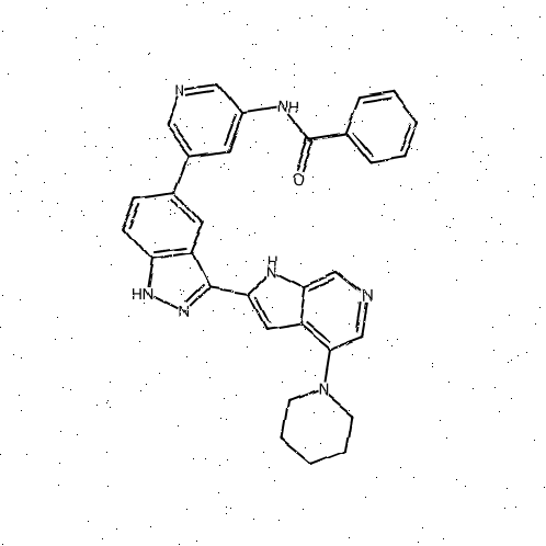 O=C(Nc1cncc(-c2ccc3[nH]nc(-c4cc5c(N6CCCCC6)cncc5[nH]4)c3c2)c1)c1ccccc1